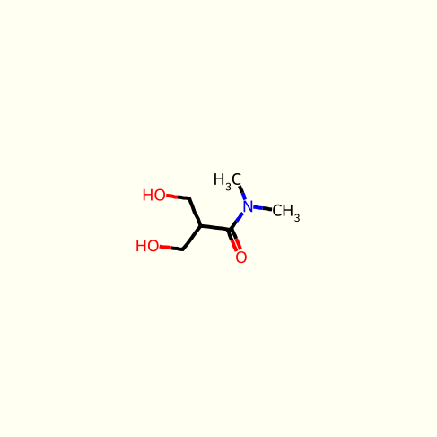 CN(C)C(=O)C(CO)CO